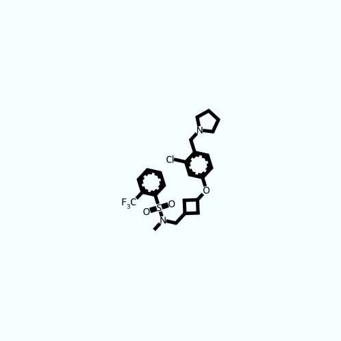 CN(CC1CC(Oc2ccc(CN3CCCC3)c(Cl)c2)C1)S(=O)(=O)c1ccccc1C(F)(F)F